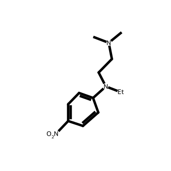 CCN(CCN(C)C)c1ccc([N+](=O)[O-])cc1